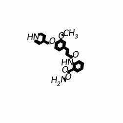 COc1cc(/C=C/C(=O)Nc2ccccc2C(=O)ON)ccc1OCC1=CCNC=C1